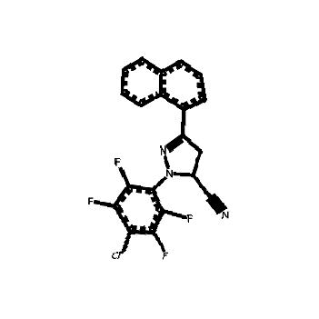 N#CC1CC(c2cccc3ccccc23)=NN1c1c(F)c(F)c(Cl)c(F)c1F